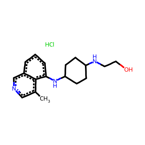 Cc1cncc2cccc(NC3CCC(NCCO)CC3)c12.Cl